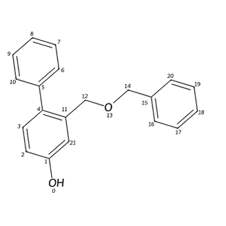 Oc1ccc(-c2ccccc2)c(COCc2ccccc2)c1